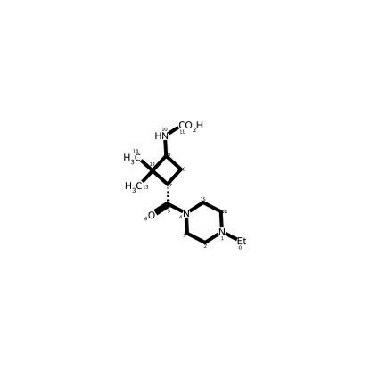 CCN1CCN(C(=O)[C@H]2CC(NC(=O)O)C2(C)C)CC1